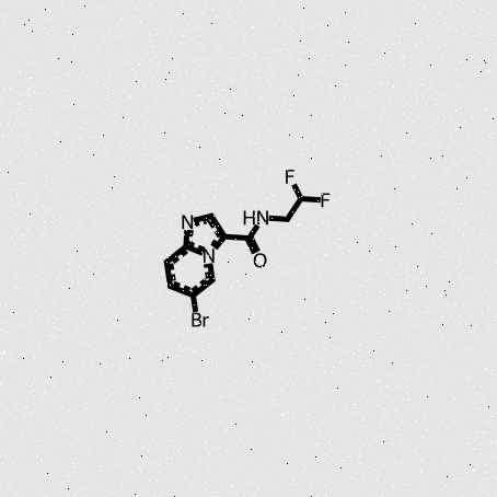 O=C(NCC(F)F)c1cnc2ccc(Br)cn12